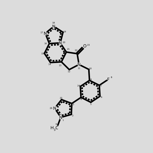 Cn1cc(-c2ccc(F)c(CN3Cc4ccc5nncn5c4C3=O)c2)cn1